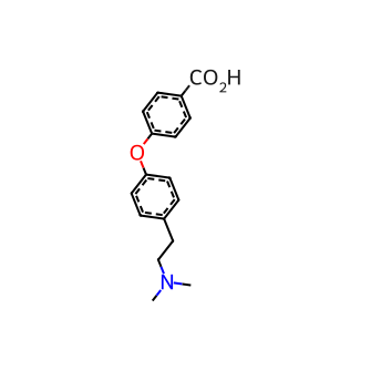 CN(C)CCc1ccc(Oc2ccc(C(=O)O)cc2)cc1